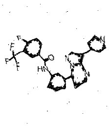 O=C(Nc1cccc(-c2ccnc3c(-c4ccncc4)cnn23)c1)c1ccc(F)c(C(F)(F)F)c1